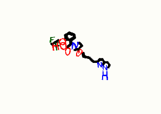 CC(F)(F)COc1ccccc1C(C(=O)O)N1CC[C@@H](OCCCCc2ccc3c(n2)NCCC3)C1